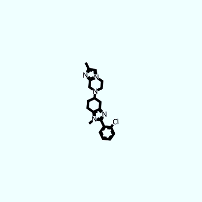 Cc1cn2c(n1)CN(C1CCc3c(nc(-c4ccccc4Cl)n3C)C1)CC2